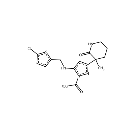 CC(C)(C)C(=O)n1nc(C2(C)CCCNC2=O)cc1NCc1ccc(Cl)s1